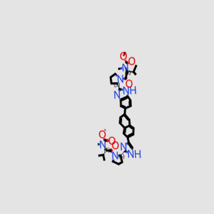 COC(=O)N(C)[C@H](C(=O)N1CCC[C@H]1c1nc(-c2ccc3cc(-c4ccc5[nH]c([C@@H]6CCCN6C(=O)[C@H](C(C)C)N(C)C(=O)OC)nc5c4)ccc3c2)c[nH]1)C(C)C